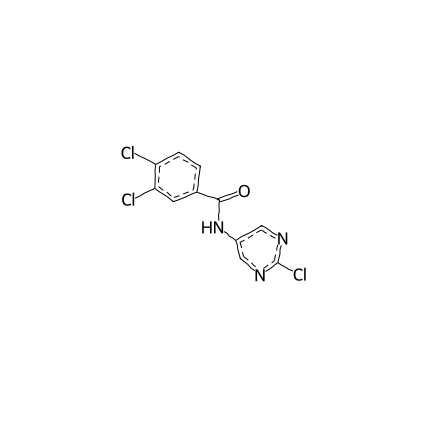 O=C(Nc1cnc(Cl)nc1)c1ccc(Cl)c(Cl)c1